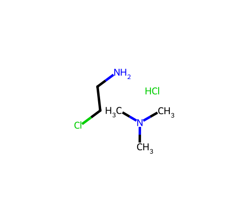 CN(C)C.Cl.NCCCl